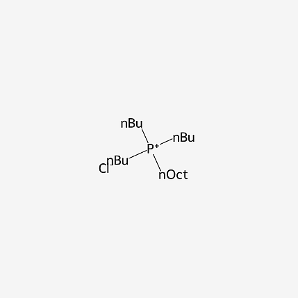 CCCCCCCC[P+](CCCC)(CCCC)CCCC.[Cl-]